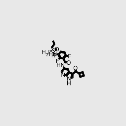 CCC[SH](=O)(P)Nc1ccc(F)c(C(=O)Nc2cnc3[nH]cc(C(=O)C4CCC4)c3c2)c1F